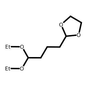 CCOC(CCCC1OCCO1)OCC